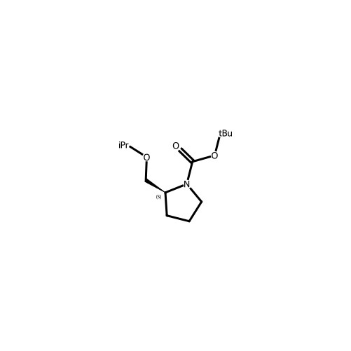 CC(C)OC[C@@H]1CCCN1C(=O)OC(C)(C)C